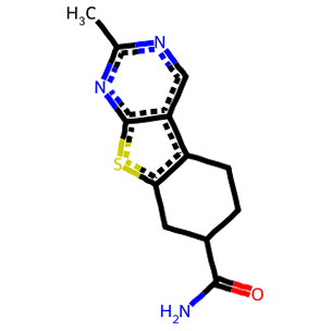 Cc1ncc2c3c(sc2n1)CC(C(N)=O)CC3